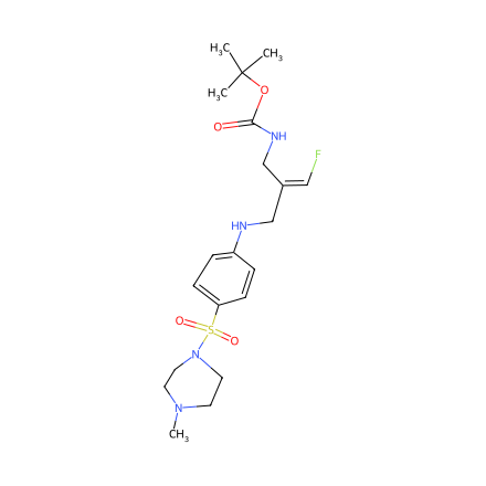 CN1CCN(S(=O)(=O)c2ccc(NC/C(=C/F)CNC(=O)OC(C)(C)C)cc2)CC1